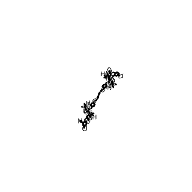 CC[C@H](NC)C(=O)N[C@@H](Cc1ccc(OCC#CC#CCOc2ccc(C[C@H](NC(=O)[C@H](CC)NC)C(=O)N3CC(C)(C)c4[nH]c(=O)c(Cc5ccc(Cl)cc5C#N)cc43)cc2)cc1)C(=O)N1CC(C)(C)c2[nH]c(=O)c(Cc3ccc(Cl)cc3C#N)cc21